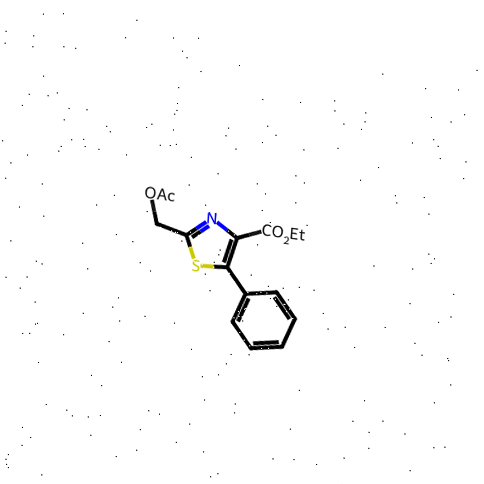 CCOC(=O)c1nc(COC(C)=O)sc1-c1ccccc1